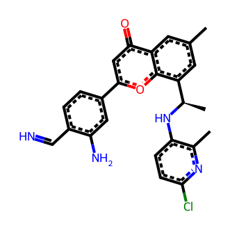 Cc1cc([C@@H](C)Nc2ccc(Cl)nc2C)c2oc(-c3ccc(C=N)c(N)c3)cc(=O)c2c1